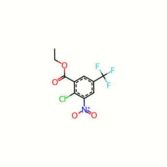 CCOC(=O)c1cc(C(F)(F)F)cc([N+](=O)[O-])c1Cl